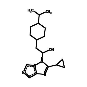 CC(C)C1CCC(CC(O)[SH]2C(C3CC3)=Nc3cncn32)CC1